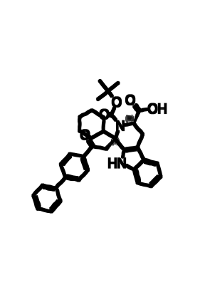 CC(C)(C)OC(=O)N1[C@@H](C(=O)O)Cc2c([nH]c3ccccc23)[C@]1(CC(=O)c1ccc(-c2ccccc2)cc1)C1CCCCC1